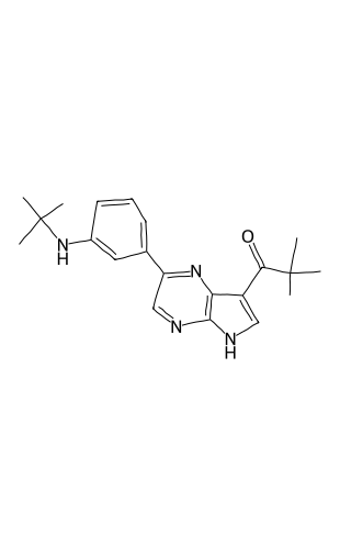 CC(C)(C)Nc1cccc(-c2cnc3[nH]cc(C(=O)C(C)(C)C)c3n2)c1